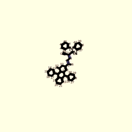 C#C/C(=C\C=C(/C)C1=CC2C(=C(C3=CC=CCC3)c3ccccc3C2c2ccccc2)C(C)C1)c1nc2ccccc2n1-c1ccccc1